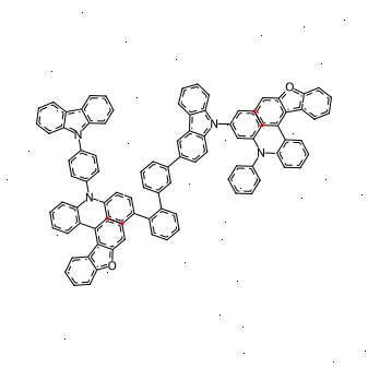 c1ccc(N(c2cccc(-n3c4ccccc4c4cc(-c5cccc(-c6ccccc6-c6ccc(N(c7ccc(-n8c9ccccc9c9ccccc98)cc7)c7ccccc7-c7cccc8oc9ccccc9c78)cc6)c5)ccc43)c2)c2ccccc2-c2cccc3oc4ccccc4c23)cc1